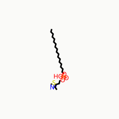 CCCCCCCCCCCCCCCCCCOP(=O)(O)OCCc1sc[n+](C)c1C